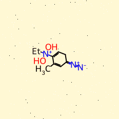 CC[N+](O)(O)C1=CCC(=[N+]=[N-])C=C1C